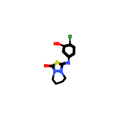 O=c1sc(=Nc2ccc(Cl)c(O)c2)n2n1CCCC2